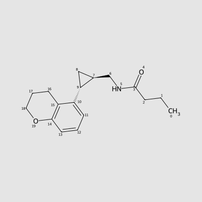 CCCC(=O)NC[C@@H]1C[C@H]1c1cccc2c1CCCO2